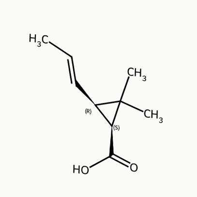 CC=C[C@@H]1[C@H](C(=O)O)C1(C)C